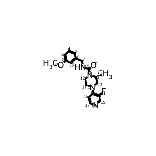 COc1cccc(CNC(=O)N2CCN(c3ccncc3F)C[C@H]2C)c1